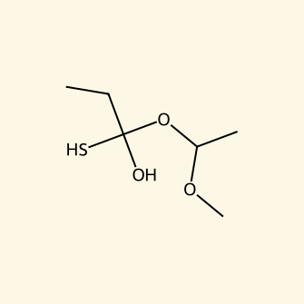 CCC(O)(S)OC(C)OC